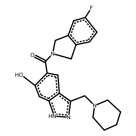 O=C(c1cc2c(CN3CCCCC3)n[nH]c2cc1O)N1Cc2ccc(F)cc2C1